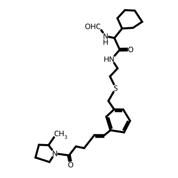 CC1CCCN1C(=O)CC/C=C/c1cccc(CSCCNC(=O)C(NC=O)C2CCCCC2)c1